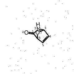 O=C1NC2C=CC1O2